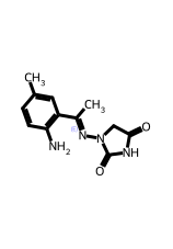 C/C(=N\N1CC(=O)NC1=O)c1cc(C)ccc1N